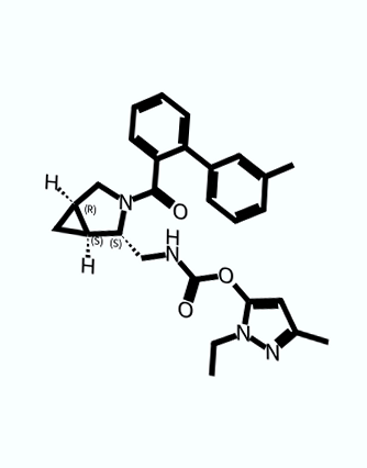 CCn1nc(C)cc1OC(=O)NC[C@@H]1[C@H]2C[C@H]2CN1C(=O)c1ccccc1-c1cccc(C)c1